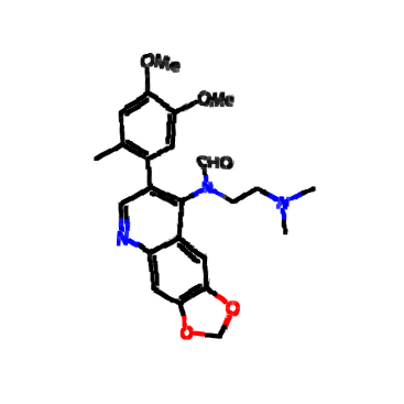 COc1cc(C)c(-c2cnc3cc4c(cc3c2N(C=O)CCN(C)C)OCO4)cc1OC